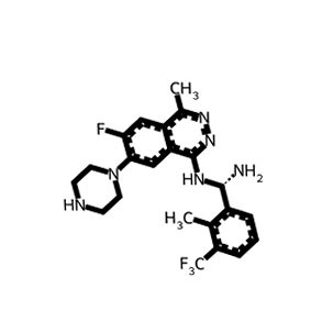 Cc1c([C@@H](N)Nc2nnc(C)c3cc(F)c(N4CCNCC4)cc23)cccc1C(F)(F)F